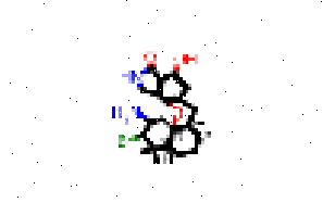 C[C@H]1CC[C@H]2C(C)(C)C(Br)C(N)C[C@]23Oc2c(cc(O)c4c2CNC4=O)C[C@]13C